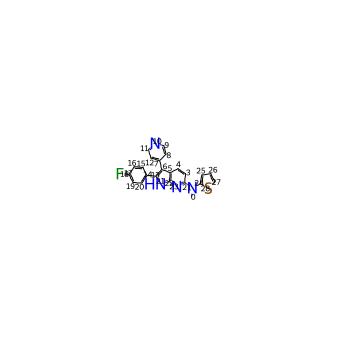 CN(c1ccc2c(-c3ccncc3)c(-c3ccc(F)cc3)[nH]c2n1)c1cccs1